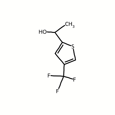 CC(O)c1cc(C(F)(F)F)cs1